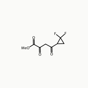 COC(=O)C(=O)CC(=O)C1CC1(F)F